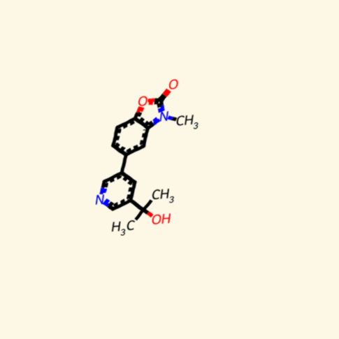 Cn1c(=O)oc2ccc(-c3cncc(C(C)(C)O)c3)cc21